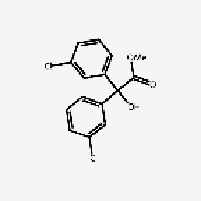 COC(=O)C(O)(c1cccc(Cl)c1)c1cccc(Cl)c1